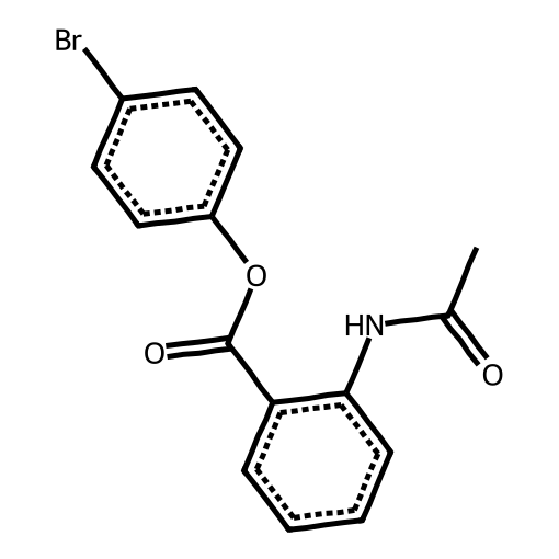 CC(=O)Nc1ccccc1C(=O)Oc1ccc(Br)cc1